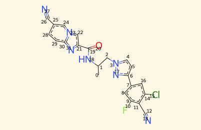 CC(Cn1ccc(-c2cc(F)c(C#N)c(Cl)c2)n1)NC(=O)c1cn2cc(C#N)ccc2n1